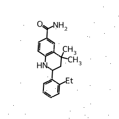 CCc1ccccc1C1CC(C)(C)c2cc(C(N)=O)ccc2N1